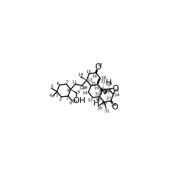 CC1CC(C)(C)CC[C@]1(CO)CC[C@]1(C)CC(=O)C=C2[C@@]3(C)[C@H]4O[C@@]4(C#N)C(=O)C(C)(C)[C@@H]3CC[C@]21C